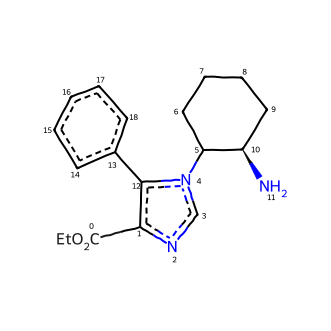 CCOC(=O)c1ncn(C2CCCC[C@H]2N)c1-c1ccccc1